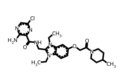 CCn1c(CNC(=O)c2nc(Cl)cnc2N)[n+](CC)c2ccc(OCC(=O)N3CCC(C)CC3)cc21